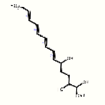 CCCCCCCCC(O)C(O)CCC(O)/C=C/C=C/C=C/C=C/C(=O)O